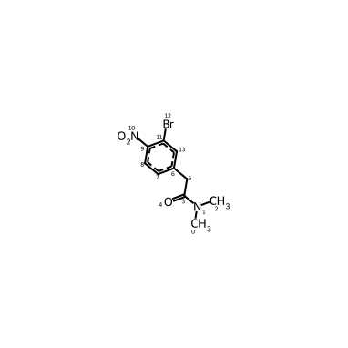 CN(C)C(=O)Cc1ccc([N+](=O)[O-])c(Br)c1